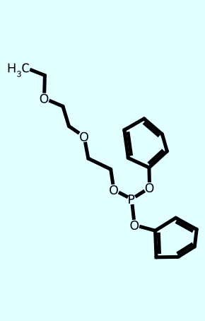 CCOCCOCCOP(Oc1ccccc1)Oc1ccccc1